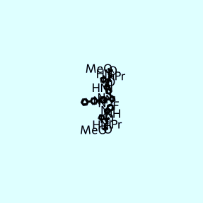 COC(=O)NC(C(=O)N1CCC[C@H]1c1nc2c([nH]1)=CC(C1CC[C@H](c3cc4nc([C@@H]5CCCN5C(=O)[C@@H](NC(=O)OC)C(C)C)[nH]c4cc3F)N1c1cnc(N3CCC(c4ccccc4)CC3)nc1)C=2)C(C)C